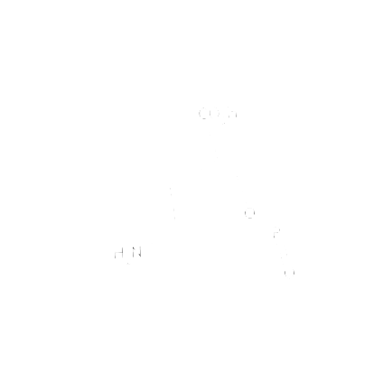 NCCC(COP=O)C(=O)O